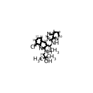 C[C@H](Nc1ncnc2cccnc12)c1cc2cccc(Cl)c2nc1NCC(C)(C)O